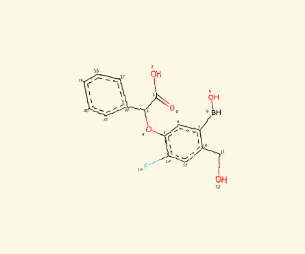 O=C(O)C(Oc1cc(BO)c(CO)cc1F)c1ccccc1